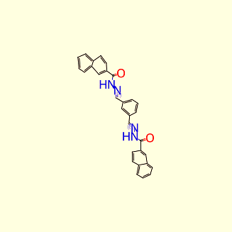 O=C(N/N=C/c1cccc(/C=N/NC(=O)c2ccc3ccccc3c2)c1)c1ccc2ccccc2c1